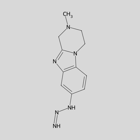 CN1CCn2c(nc3cc(NN=N)ccc32)C1